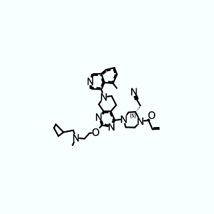 C=CC(=O)N1CCN(c2nc(OCCN(C)CC3CCC3)nc3c2CCN(c2cncc4cccc(C)c24)C3)C[C@@H]1CC#N